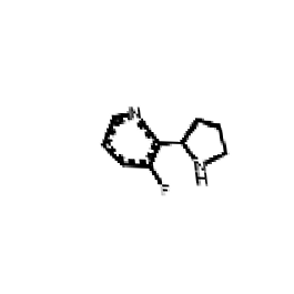 Fc1cccnc1[C@H]1CCCN1